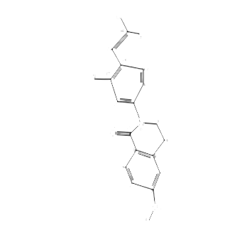 COc1ccc2c(c1)CCN(c1ccc(C=C(C)C)c(C)c1)C2=O